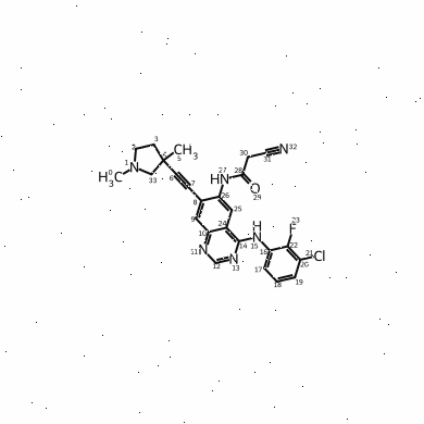 CN1CCC(C)(C#Cc2cc3ncnc(Nc4cccc(Cl)c4F)c3cc2NC(=O)CC#N)C1